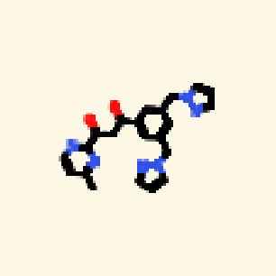 Cc1ccnc(C(=O)CC(=O)c2cc(Cn3cccn3)cc(Cn3cccn3)c2)n1